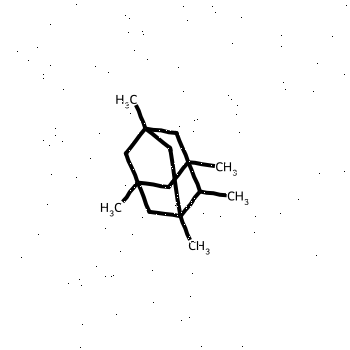 CC1C2(C)CC3(C)CC(C)(C2)CC1(C)C3